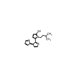 CN(C)CCn1c(S)ccc1C1=NC=CC1=C1C=CC=N1